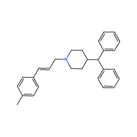 Cc1ccc(/C=C/CN2CCC(C(c3ccccc3)c3ccccc3)CC2)cc1